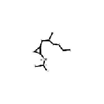 CCCCC(C)CC1CC1NC(C)C